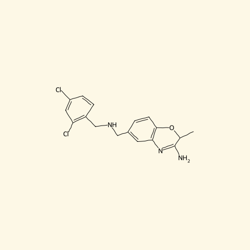 CC1Oc2ccc(CNCc3ccc(Cl)cc3Cl)cc2N=C1N